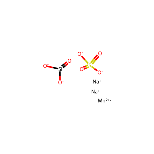 O=S(=O)([O-])[O-].O=[Si]([O-])[O-].[Mn+2].[Na+].[Na+]